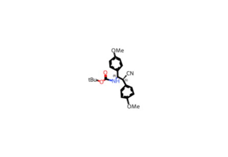 COc1ccc([C@H](C#N)[C@@H](NC(=O)OC(C)(C)C)c2ccc(OC)cc2)cc1